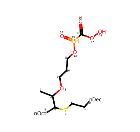 CCCCCCCCCCCCSC(CCCCCCCC)C(C)OCCCO[PH](=O)C(=O)OO